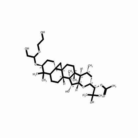 CC(=O)O[C@@H]([C@H]1C[C@@H](C)[C@H]2[C@H](O1)[C@H](O)[C@@]1(C)[C@@H]3CCC4C(C)(C)[C@@H](OC(CO)OCCO)CC[C@@]45C[C@@]35CC[C@]21C)C(C)(C)O